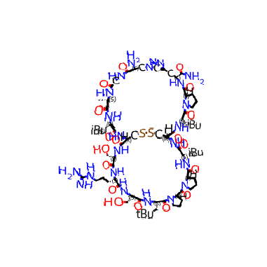 CC[C@H](C)[C@@H]1NC(=O)[C@@H]2CCCN2C(=O)[C@@H]2CCCN2C(=O)[C@H](CC(C)(C)C)NC(=O)[C@H](CO)NC(=O)[C@H](CCCNC(=N)N)NC(=O)[C@H](CO)NC(=O)[C@@H]2CSSC[C@H](NC1=O)C(=O)N[C@@H]([C@@H](C)CC)C(=O)N1CCC[C@H]1C(=O)N[C@H](C(N)=O)Cc1cn(nn1)C[C@H](N)C(=O)NCC(=O)N[C@@H](C)C(=O)N[C@H]([C@@H](C)CC)C(=O)N2